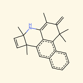 C=C1C(C)=C2NC3(C)C=CC3(C)c3cc4ccccc4c(c32)C1(C)C